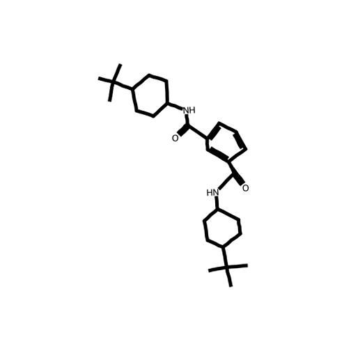 CC(C)(C)C1CCC(NC(=O)c2cccc(C(=O)NC3CCC(C(C)(C)C)CC3)c2)CC1